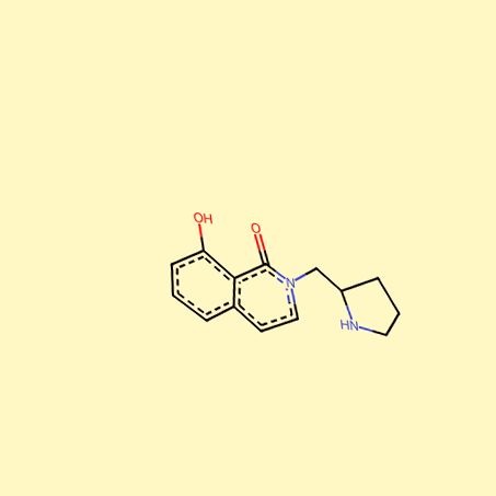 O=c1c2c(O)cccc2ccn1CC1CCCN1